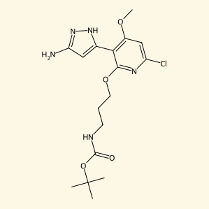 COc1cc(Cl)nc(OCCCNC(=O)OC(C)(C)C)c1-c1cc(N)n[nH]1